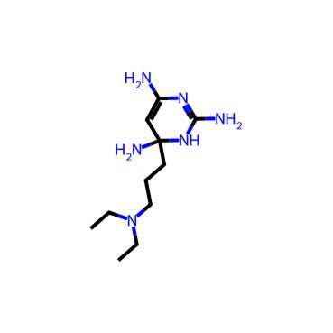 CCN(CC)CCCC1(N)C=C(N)N=C(N)N1